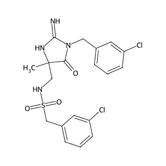 CC1(CNS(=O)(=O)Cc2cccc(Cl)c2)NC(=N)N(Cc2cccc(Cl)c2)C1=O